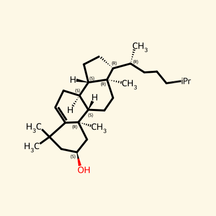 CC(C)CCC[C@@H](C)[C@H]1CC[C@H]2[C@@H]3CC=C4C(C)(C)C[C@H](O)C[C@]4(C)[C@H]3CC[C@]12C